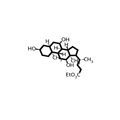 CCOC(=O)CC[C@@H](C)C1CC[C@H]2[C@@H]3[C@H](O)C[C@@H]4C[C@H](O)CC[C@]4(C)[C@H]3C[C@H](O)[C@]12C